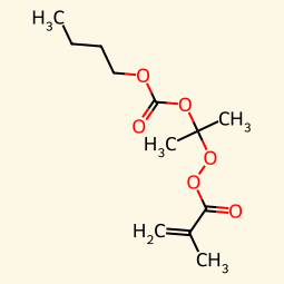 C=C(C)C(=O)OOC(C)(C)OC(=O)OCCCC